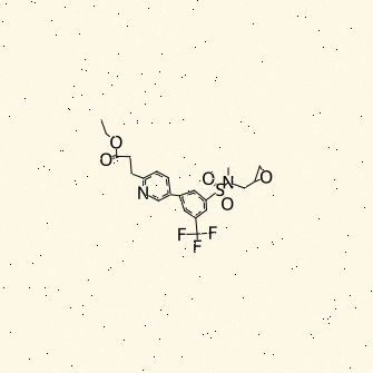 CCOC(=O)CCc1ccc(-c2cc(C(F)(F)F)cc(S(=O)(=O)N(C)CC3CO3)c2)cn1